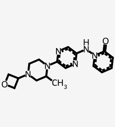 CC1CN(C2COC2)CCN1c1cnc(Nn2ccccc2=O)cn1